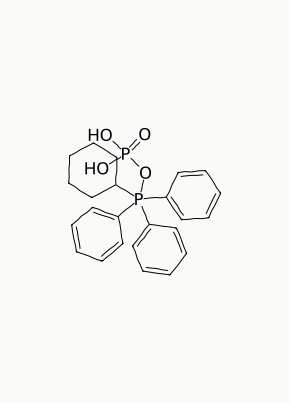 O=P(O)(O)OP(c1ccccc1)(c1ccccc1)(c1ccccc1)C1CCCCC1